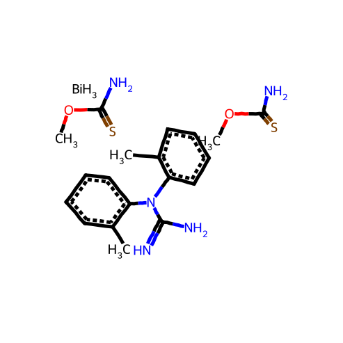 COC(N)=S.COC(N)=S.Cc1ccccc1N(C(=N)N)c1ccccc1C.[BiH3]